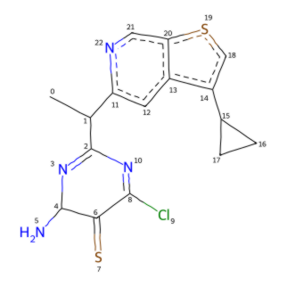 CC(C1=NC(N)C(=S)C(Cl)=N1)c1cc2c(C3CC3)csc2cn1